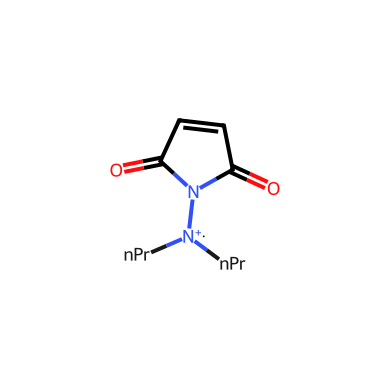 CCC[N+](CCC)N1C(=O)C=CC1=O